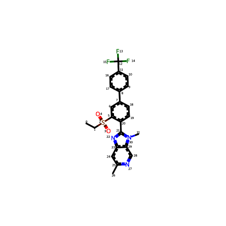 CCS(=O)(=O)c1cc(-c2ccc(C(F)(F)F)cc2)ccc1-c1nc2cc(C)ncc2n1C